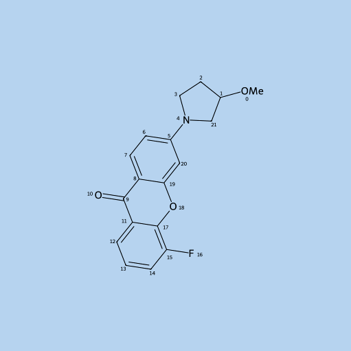 COC1CCN(c2ccc3c(=O)c4cccc(F)c4oc3c2)C1